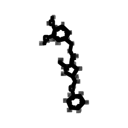 COc1ccc(CCN=C2CC(COc3ccccc3)CN2C)cc1OC